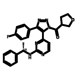 C[C@H](Nc1nccc(-c2c(-c3ccc(F)cc3)nnn2C(=O)C2CCOC2)n1)c1ccccc1